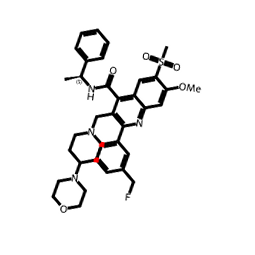 COc1cc2nc(-c3cccc(CF)c3)c(CN3CCC(N4CCOCC4)CC3)c(C(=O)N[C@@H](C)c3ccccc3)c2cc1S(C)(=O)=O